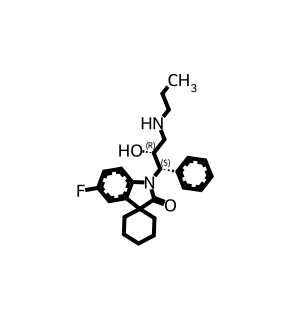 CCCNC[C@@H](O)[C@H](c1ccccc1)N1C(=O)C2(CCCCC2)c2cc(F)ccc21